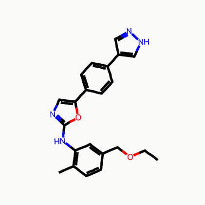 CCOCc1ccc(C)c(Nc2ncc(-c3ccc(-c4cn[nH]c4)cc3)o2)c1